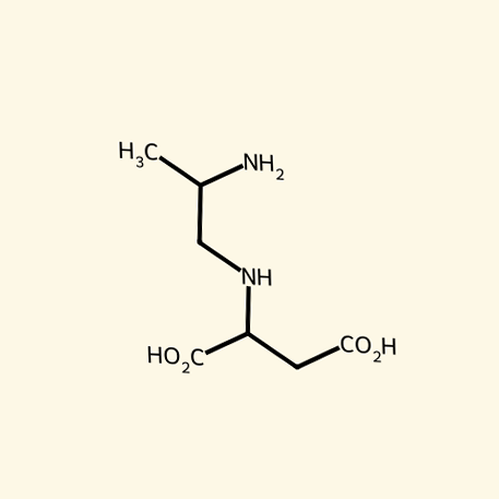 CC(N)CNC(CC(=O)O)C(=O)O